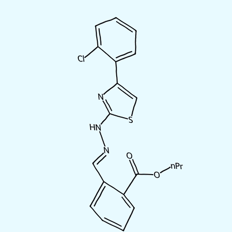 CCCOC(=O)c1ccccc1/C=N/Nc1nc(-c2ccccc2Cl)cs1